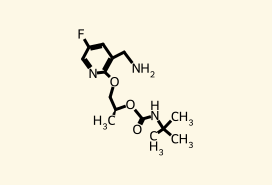 C[C@@H](COc1ncc(F)cc1CN)OC(=O)NC(C)(C)C